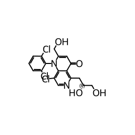 O=c1cc(CO)n(-c2c(Cl)cccc2Cl)c2c(Cl)cnc(C[C@@H](O)CO)c12